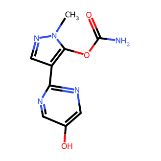 Cn1ncc(-c2ncc(O)cn2)c1OC(N)=O